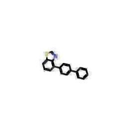 c1ccc(-c2ccc(-c3cccc4scnc34)cc2)cc1